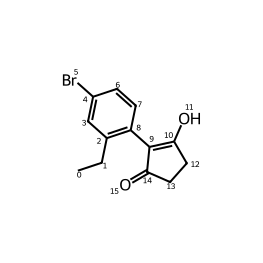 CCc1cc(Br)ccc1C1=C(O)CCC1=O